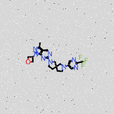 Cc1nn(C2COC2)c2nc(N3CCC4(CCN(c5cnc(C(F)(F)F)nc5)C4)C3)ncc12